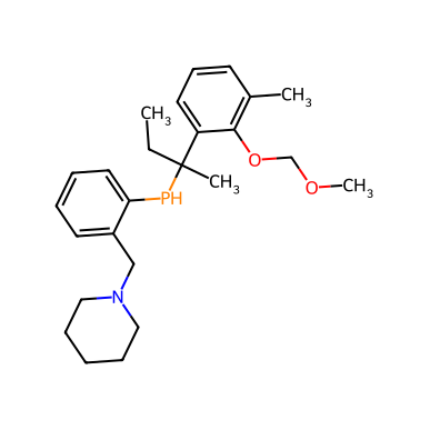 CCC(C)(Pc1ccccc1CN1CCCCC1)c1cccc(C)c1OCOC